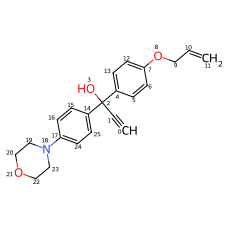 C#CC(O)(c1ccc(OCC=C)cc1)c1ccc(N2CCOCC2)cc1